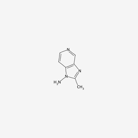 Cc1nc2cnccc2n1N